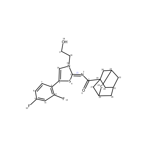 O=C(/N=c1\sc(-c2ccc(F)cc2F)cn1CCO)C12CC3CC(CC(C3)C1)C2